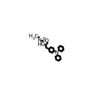 CCNC(=S)O/C(C=O)=C/c1ccc(N(c2ccccc2)c2ccccc2)cc1